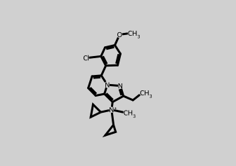 CCc1nn2c(-c3ccc(OC)cc3Cl)cccc2c1[N+](C)(C1CC1)C1CC1